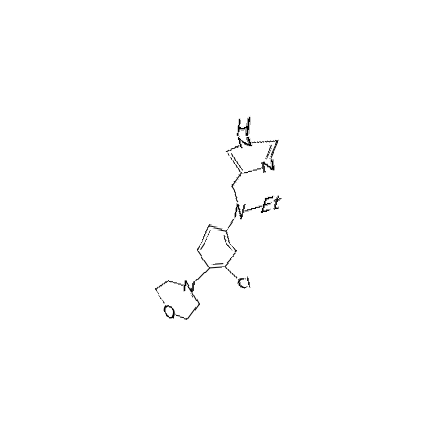 CCN(Cc1c[nH]cn1)c1ccc(N2CCOCC2)c(Cl)c1